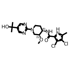 CO[C@H]1CN(c2ncc(C(C)(C)O)cn2)CC[C@H]1NC(=O)c1[nH]c(C)c(Cl)c1Cl